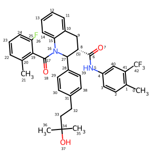 Cc1ccc(NC(=O)[C@H]2Cc3ccccc3N(C(=O)c3c(C)cccc3F)C2c2ccc(CCC(C)(C)O)cc2)cc1C(F)(F)F